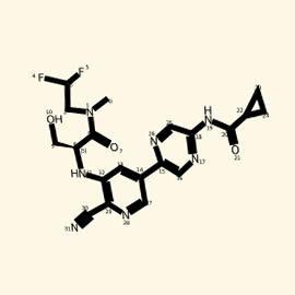 CN(CC(F)F)C(=O)[C@H](CO)Nc1cc(-c2cnc(NC(=O)C3CC3)cn2)cnc1C#N